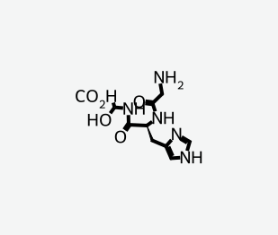 NCC(=O)N[C@@H](Cc1c[nH]cn1)C(=O)NC(O)C(=O)O